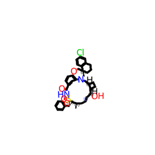 C[C@@H]1C/C=C/[C@H](O)[C@@H]2CC[C@H]2CN2C[C@@]3(CCCc4cc(Cl)ccc43)COc3ccc(cc32)C(=O)NS(=O)(=O)[C@H]1Cc1ccccc1